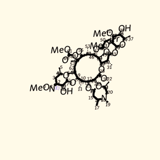 CO/N=C1\C[C@@H](C)O[C@@H](O[C@@H]2[C@@H](C)[C@H](O[C@H]3CC(C)N(C)C[C@H](C)O3)[C@@H](C)C(=O)O[C@H]([C@@H](C)CO[C@@H]3O[C@H](C)[C@@H](O)[C@@H](OC)[C@H]3OC)[C@H](C)[C@@H](OC(=O)CC(C)C)[C@@H](C)C(=O)[C@@](C)(OC(=O)OC)C[C@@H]2C)[C@@H]1O